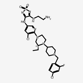 CC[C@H]1CN(c2ncc(NC3=NS(=O)(=O)N=C3NCCN)cc2Cl)CCN1C1CCN(Cc2ccc(Cl)cc2F)CC1